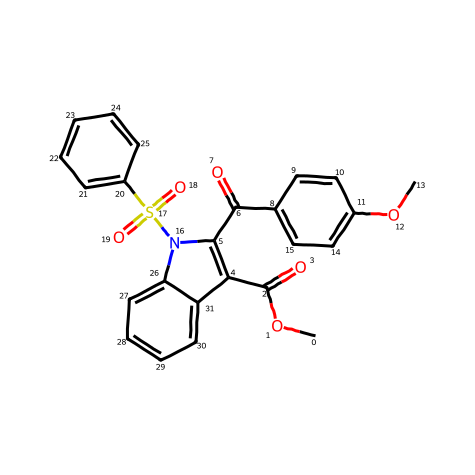 COC(=O)c1c(C(=O)c2ccc(OC)cc2)n(S(=O)(=O)c2ccccc2)c2ccccc12